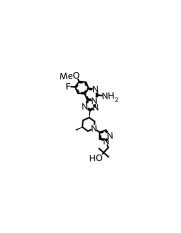 COc1cc2nc(N)n3nc([C@@H]4C[C@H](C)CN(c5cnn(CC(C)(C)O)c5)C4)nc3c2cc1F